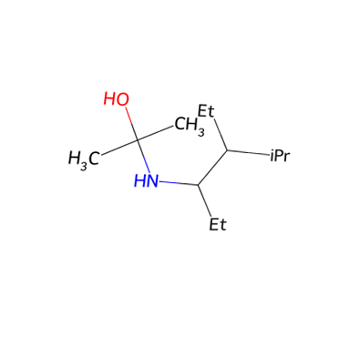 CCC(NC(C)(C)O)C(CC)C(C)C